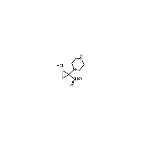 Cl.O=[SH](=O)C1(N2CCNCC2)CC1